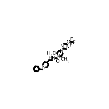 C[C@@H]1CN(c2cnc(OC(F)(F)F)cn2)C[C@@H](C)N1C(=O)NCCC1CCN(Cc2ccccc2)CC1